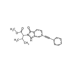 COC(=O)C(C(C)C)n1[nH]c2cc(C#Cc3ccccc3)ccc2c1=O